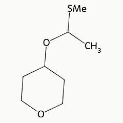 CSC(C)OC1CCOCC1